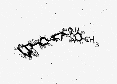 CC(C)N(c1nn(-c2ccc(-c3cc4ncccc4o3)cc2)cc1C(=O)O)C(=O)[C@H]1CC[C@H](C)CC1